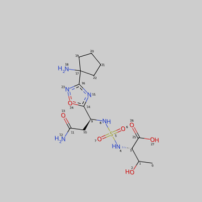 CC(O)[C@H](NS(=O)(=O)N[C@@H](CC(N)=O)c1nc(C2(N)CCCC2)no1)C(=O)O